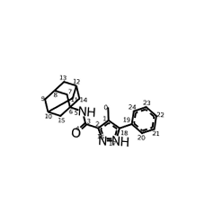 Cc1c(C(=O)NC23CC4CC(CC(C4)C2)C3)n[nH]c1-c1ccccc1